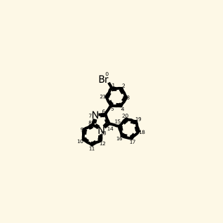 Brc1cccc(-c2nc3ccccn3c2-c2ccccc2)c1